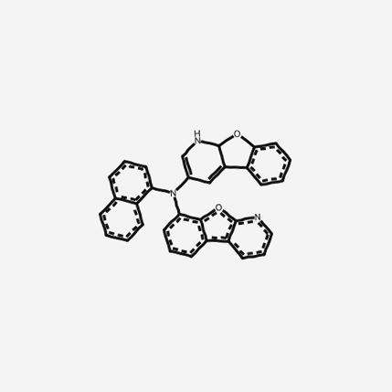 C1=C2c3ccccc3OC2NC=C1N(c1cccc2ccccc12)c1cccc2c1oc1ncccc12